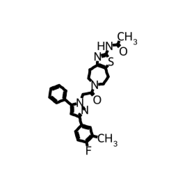 CC(=O)Nc1nc2c(s1)CCN(C(=O)Cn1nc(-c3ccc(F)c(C)c3)cc1-c1ccccc1)CC2